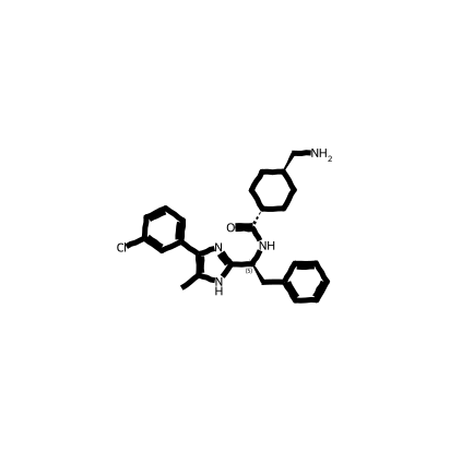 Cc1[nH]c([C@H](Cc2ccccc2)NC(=O)[C@H]2CC[C@H](CN)CC2)nc1-c1cccc(Cl)c1